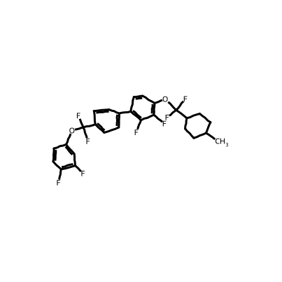 CC1CCC(C(F)(F)Oc2ccc(-c3ccc(C(F)(F)Oc4ccc(F)c(F)c4)cc3)c(F)c2F)CC1